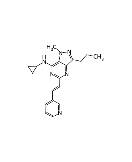 CCCc1nn(C)c2c(NC3CC3)nc(C=Cc3cccnc3)nc12